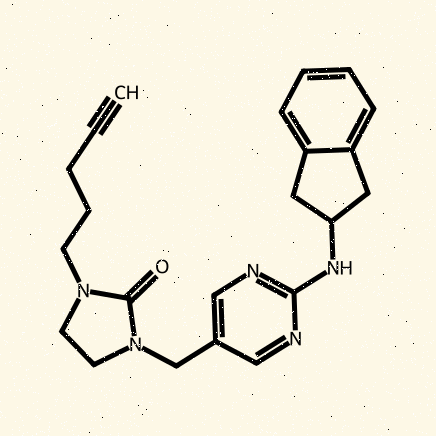 C#CCCCN1CCN(Cc2cnc(NC3Cc4ccccc4C3)nc2)C1=O